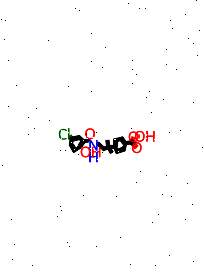 CC(C)(CCNC(=O)c1cc(Cl)ccc1O)c1ccc(C(=O)OO)cc1